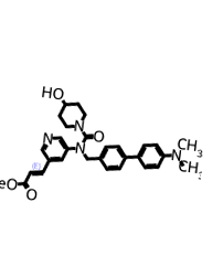 COC(=O)/C=C/c1cncc(N(Cc2ccc(-c3ccc(N(C)C)cc3)cc2)C(=O)N2CCC(O)CC2)c1